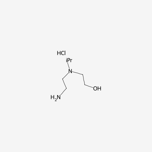 CC(C)N(CCN)CCO.Cl